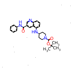 CC(C)(C)OC(=O)N1CCC(Nc2cccc3ncc(C(=O)Nc4ccccc4)cc23)CC1